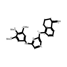 COc1cc(Nc2cncc(Oc3cccc4c3CCCC4=N)n2)cc(OC)c1OC